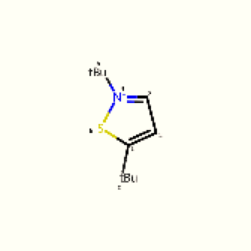 CC(C)(C)c1cc[n+](C(C)(C)C)s1